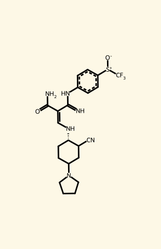 N#CC1CC(N2CCCC2)CC[C@@H]1N/C=C(\C(=N)Nc1ccc([S+]([O-])C(F)(F)F)cc1)C(N)=O